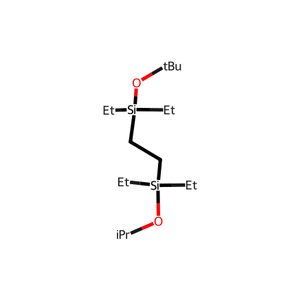 CC[Si](CC)(CC[Si](CC)(CC)OC(C)(C)C)OC(C)C